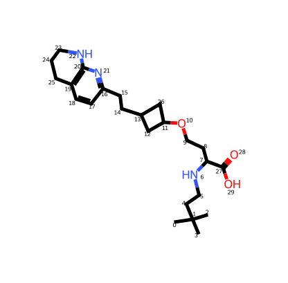 CC(C)(C)CCNC(CCOC1CC(CCc2ccc3c(n2)NCCC3)C1)C(=O)O